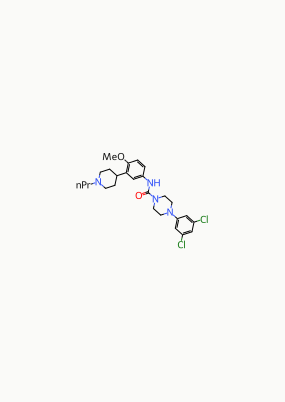 CCCN1CCC(c2cc(NC(=O)N3CCN(c4cc(Cl)cc(Cl)c4)CC3)ccc2OC)CC1